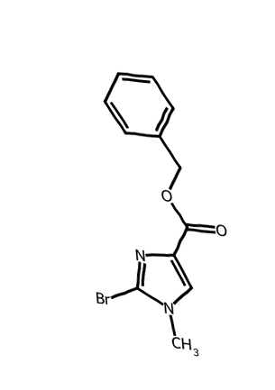 Cn1cc(C(=O)OCc2ccccc2)nc1Br